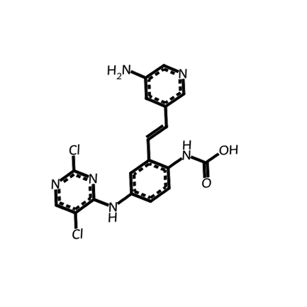 Nc1cncc(/C=C/c2cc(Nc3nc(Cl)ncc3Cl)ccc2NC(=O)O)c1